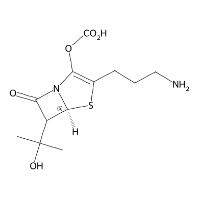 CC(C)(O)C1C(=O)N2C(OC(=O)O)=C(CCCN)S[C@@H]12